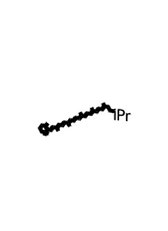 CC1=C(/C=C/C(C)=C/C=C/C(C)=C/C=C/C=C(C)/C=C/C=C(C)/C=C/C=C(\C)CCCC(C)C)C(C)(C)CCC1